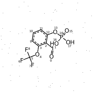 O=Ic1c(OC(F)(F)F)cccc1OP(=O)(O)O